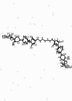 Cc1cc(CCCCCCCc2cc(C)n(-c3cnc([C@H]4CCC(O[Si](C)(C)C(C)(C)C)[C@@H](F)C4)cn3)c2C)c(C)n1-c1cnc([C@@H]2CCC(O[Si](C)(C)C(C)(C)C)[C@@H](F)C2)cn1